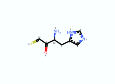 N[C@@H](Cc1cnc[nH]1)C(=O)C=S